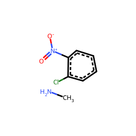 CN.O=[N+]([O-])c1ccccc1Cl